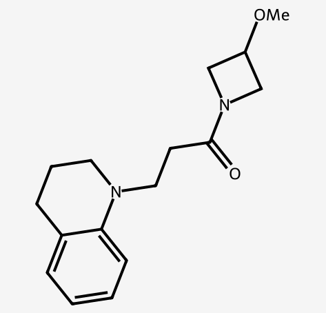 COC1CN(C(=O)CCN2CCCc3ccccc32)C1